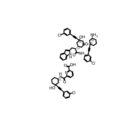 NC(=O)C(Cc1cc2ccccc2[nH]1)[C@H]1CCC[C@@](O)(C#Cc2cccc(Cl)c2)C1.N[C@H]1CCC[C@@](O)(C#Cc2cccc(Cl)c2)C1.O=C(O)c1cccc(C(=O)N[C@H]2CCC[C@@](O)(C#Cc3cccc(Cl)c3)C2)n1